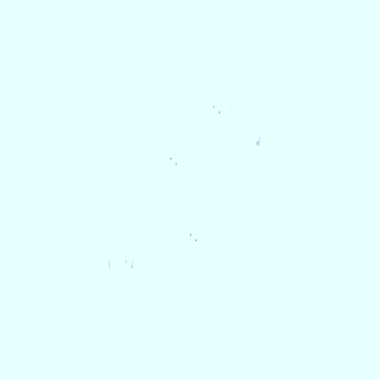 CCCC(=N)c1cnc(N)cn1